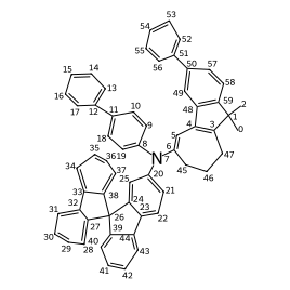 CC1(C)C2=C(C=C(N(c3ccc(-c4ccccc4)cc3)c3ccc4c(c3)C3(c5ccccc5-c5ccccc53)c3ccccc3-4)CCC2)c2cc(-c3ccccc3)ccc21